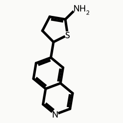 NC1=CCC(c2ccc3cnccc3c2)S1